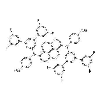 CC(C)(C)c1ccc(N(c2cc(-c3cc(F)cc(F)c3)cc(-c3cc(F)cc(F)c3)c2)c2ccc3ccc4c(N(c5ccc(C(C)(C)C)cc5)c5cc(-c6cc(F)cc(F)c6)cc(-c6cc(F)cc(F)c6)c5)ccc5ccc2c3c54)cc1